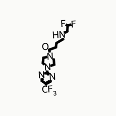 O=C(CCCNCC(F)F)N1CCN(c2ncc(C(F)(F)F)cn2)CC1